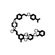 Cc1cc(C=CC(=O)N2CCN(Cc3ccc(CCOc4ccc(C(C)C)cc4)cc3)CC2)cc(Cl)c1Oc1ccc(OCc2ccccc2Cl)cn1